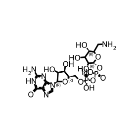 NCC1O[C@H](OP(=O)(O)OP(=O)(O)OC[C@H]2O[C@@H](n3cnc4c(=O)[nH]c(N)nc43)C(O)C2O)C(O)C(O)[C@H]1O